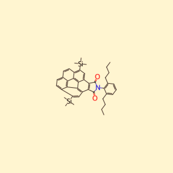 CCCCc1cccc(CCCC)c1-n1c(=O)c2c3cc([Si](C)(C)C)c4ccc5ccc6c([Si](C)(C)C)cc(c2c1=O)c1c6c5c4c31